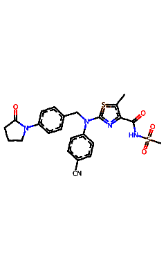 Cc1sc(N(Cc2ccc(N3CCCC3=O)cc2)c2ccc(C#N)cc2)nc1C(=O)NS(C)(=O)=O